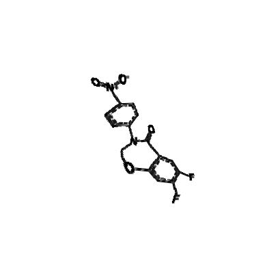 O=C1c2cc(F)c(F)cc2OCN1c1ccc([N+](=O)[O-])cc1